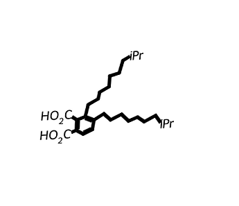 CC(C)CCCCCCCc1ccc(C(=O)O)c(C(=O)O)c1CCCCCCCC(C)C